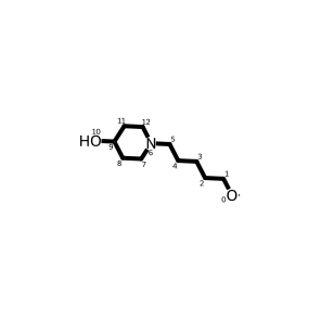 [O]CCCCCN1CCC(O)CC1